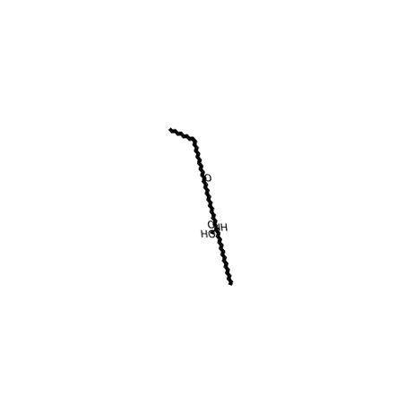 CCCCCCCC/C=C\CCCCCCCCCCCC(=O)CCCCCCCCCCCCCCC(=O)N[C@H](CO)CCCCCCCCCCCCCCCCCC